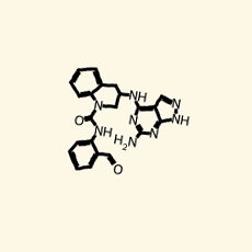 Nc1nc(NC2Cc3ccccc3N(C(=O)Nc3ccccc3C=O)C2)c2cn[nH]c2n1